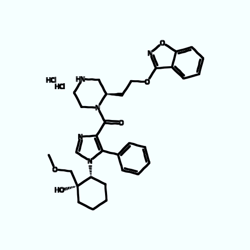 COC[C@]1(O)CCCC[C@H]1n1cnc(C(=O)N2CCNC[C@H]2CCOc2noc3ccccc23)c1-c1ccccc1.Cl.Cl